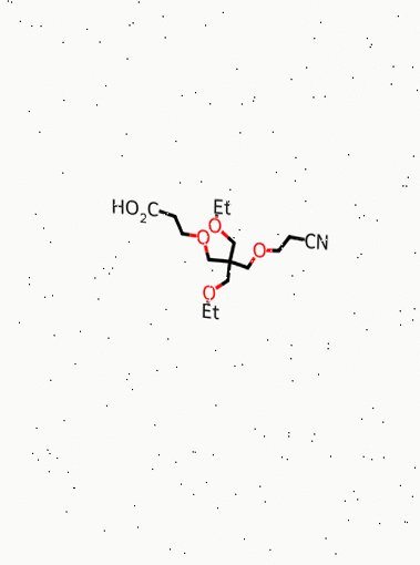 CCOCC(COCC)(COCCC#N)COCCC(=O)O